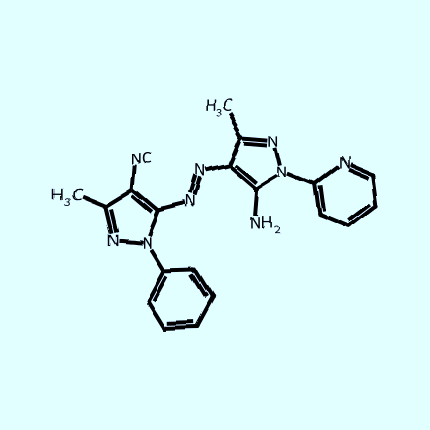 [C-]#[N+]c1c(C)nn(-c2ccccc2)c1/N=N/c1c(C)nn(-c2ccccn2)c1N